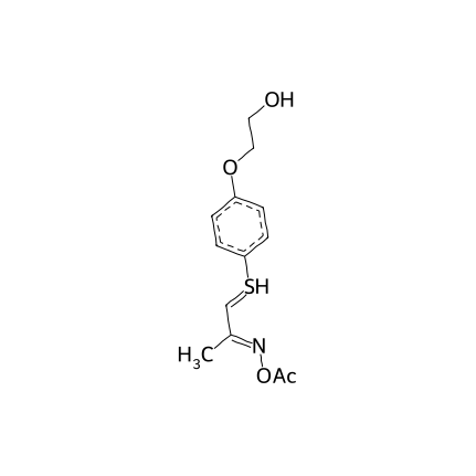 CC(=O)ON=C(C)C=[SH]c1ccc(OCCO)cc1